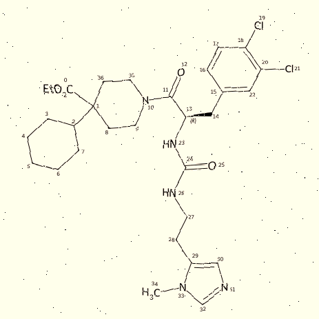 CCOC(=O)C1(C2CCCCC2)CCN(C(=O)[C@@H](Cc2ccc(Cl)c(Cl)c2)NC(=O)NCCc2cncn2C)CC1